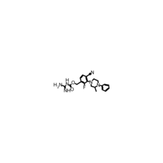 CC1CN(c2c(C#N)ccc(COC(=O)NC(=N)N)c2F)CCN1c1ccccc1